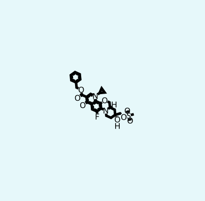 CS(=O)(=O)OC[C@]1(O)CCN2c3c(F)cc4c(=O)c(C(=O)OCc5ccccc5)cn(C5CC5)c4c3OC[C@H]2C1